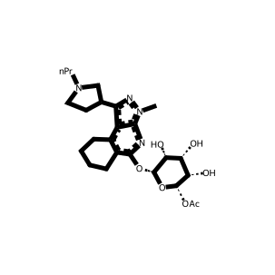 CCCN1CCC(c2nn(C)c3nc(O[C@H]4O[C@@H](OC(C)=O)[C@@H](O)[C@@H](O)[C@H]4O)c4c(c23)CCCC4)C1